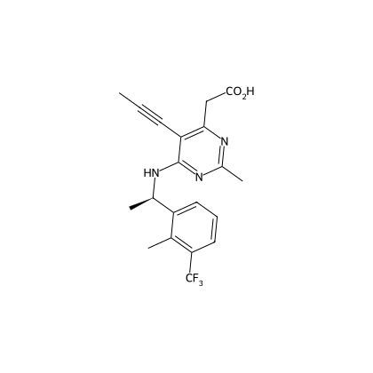 CC#Cc1c(CC(=O)O)nc(C)nc1N[C@H](C)c1cccc(C(F)(F)F)c1C